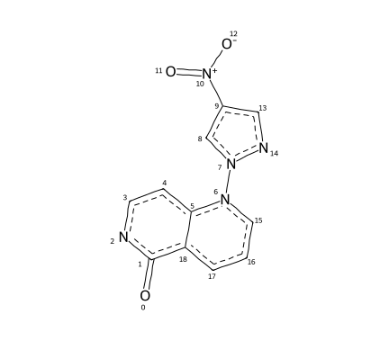 O=c1nccc2n(-n3cc([N+](=O)[O-])cn3)cccc1-2